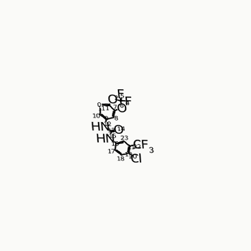 C=C1OC(F)(F)O/C1=C/C(=C\C)NC(=O)Nc1ccc(Cl)c(C(F)(F)F)c1